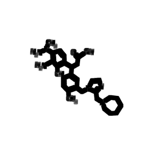 Cc1ccc(C(CC(=O)O)c2ccc(N(C)N)c(N)c2C)cc1Cn1ccnc1CN1CCCCCC1